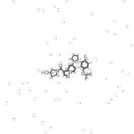 O=C(c1cnn2ccc(N3CCC[C@@H]3c3cc(OC(F)F)ccc3F)cc12)N1CC[C@H](O)C1